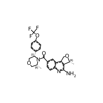 C[C@@H]1COC[C@H](c2ccc(OC(F)(F)F)cc2)N1C(=O)c1ccc2nc(N)c3c(c2c1)CO[C@@H]3C